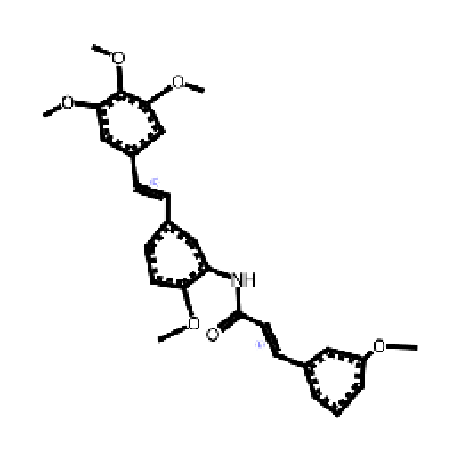 COc1cccc(/C=C/C(=O)Nc2cc(/C=C/c3cc(OC)c(OC)c(OC)c3)ccc2OC)c1